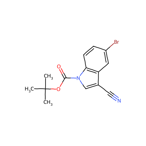 CC(C)(C)OC(=O)n1cc(C#N)c2cc(Br)ccc21